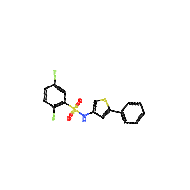 O=S(=O)(Nc1csc(-c2ccccc2)c1)c1cc(F)ccc1F